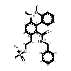 COc1ccccc1-c1c(OC)ccc(CCOS(C)(=O)=O)c1C(=O)NCc1ccccc1